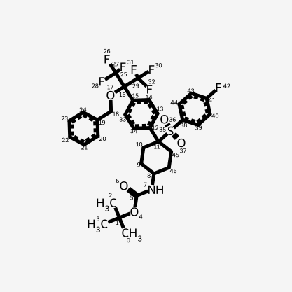 CC(C)(C)OC(=O)NC1CCC(c2ccc(C(OCc3ccccc3)(C(F)(F)F)C(F)(F)F)cc2)(S(=O)(=O)c2ccc(F)cc2)CC1